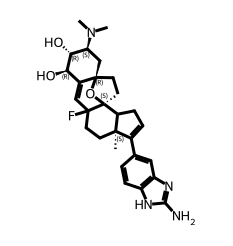 CN(C)[C@H]1C[C@@]23CC[C@]4(O2)C2CC=C(c5ccc6[nH]c(N)nc6c5)[C@@]2(C)CCC4(F)C=C3[C@@H](O)[C@@H]1O